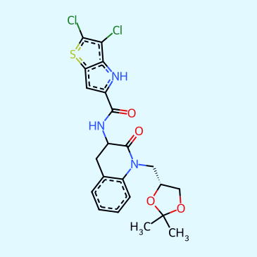 CC1(C)OC[C@@H](CN2C(=O)C(NC(=O)c3cc4sc(Cl)c(Cl)c4[nH]3)Cc3ccccc32)O1